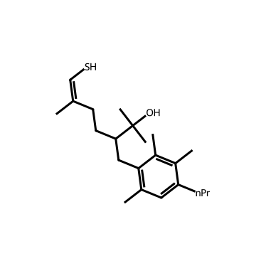 CCCc1cc(C)c(CC(CC/C(C)=C\S)C(C)(C)O)c(C)c1C